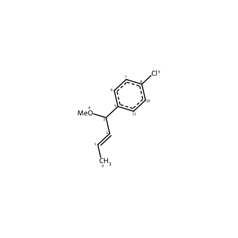 CC=CC(OC)c1ccc(Cl)cc1